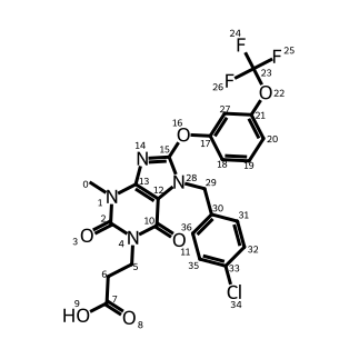 Cn1c(=O)n(CCC(=O)O)c(=O)c2c1nc(Oc1cccc(OC(F)(F)F)c1)n2Cc1ccc(Cl)cc1